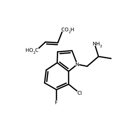 CC(N)Cn1ccc2ccc(F)c(Cl)c21.O=C(O)/C=C/C(=O)O